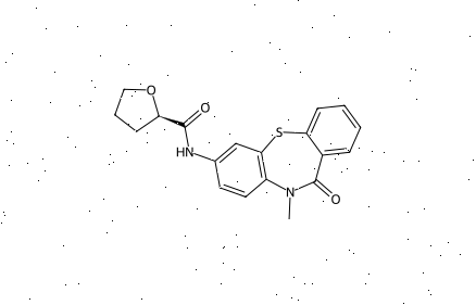 CN1C(=O)c2ccccc2Sc2cc(NC(=O)[C@H]3CCCO3)ccc21